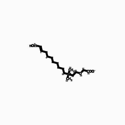 CCCCCCCC/C=C/CCCCCCCC[N+](C)(C)CCOCC(=O)[O-]